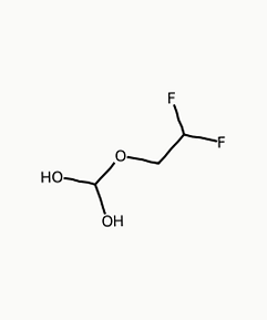 OC(O)OCC(F)F